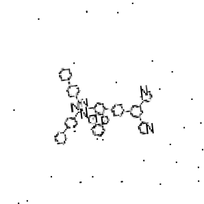 c1ccc(-c2ccc(-c3nc(-c4ccc(-c5ccccc5)cc4)nc(-c4ccc(-c5ccc(-c6cc(-c7cccnc7)cc(-c7cccnc7)c6)cc5)c5c4Oc4ccccc4O5)n3)cc2)cc1